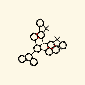 CC1(C)c2ccccc2-c2ccc(N(c3ccc4c(c3)C(C)(C)c3ccccc3-4)c3c(-c4ccccc4)cc(-c4cc5ccccc5c5ccccc45)cc3-c3ccc4ccccc4c3)cc21